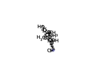 COc1cc(-c2ccc(O)cc2)c(OC)c(O)c1-c1ccc(OCC#C/C=C\Cl)c(O)c1